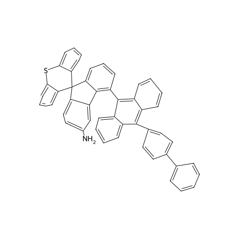 Nc1ccc2c(c1)-c1c(-c3c4ccccc4c(-c4ccc(-c5ccccc5)cc4)c4ccccc34)cccc1C21c2ccccc2Sc2ccccc21